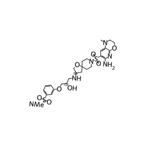 CNS(=O)(=O)c1cccc(OC[C@@H](O)CN[C@H]2COC3(CCN(S(=O)(=O)c4cc5c(nc4N)OCCN5C)CC3)C2)c1